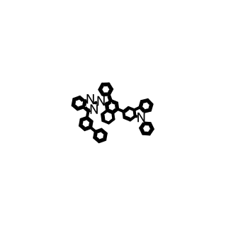 C1=Cc2c(c(C3=CC4c5ccccc5N(c5ccccc5)C4C=C3)cc3c4ccccc4n(-c4nc(-c5cccc(-c6ccccc6)c5)c5ccccc5n4)c23)CC1